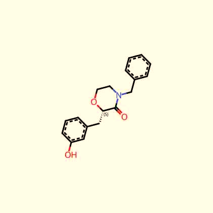 O=C1[C@H](Cc2cccc(O)c2)OCCN1Cc1ccccc1